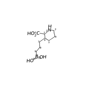 O=C(O)C1NCCCC1CCCB(O)O